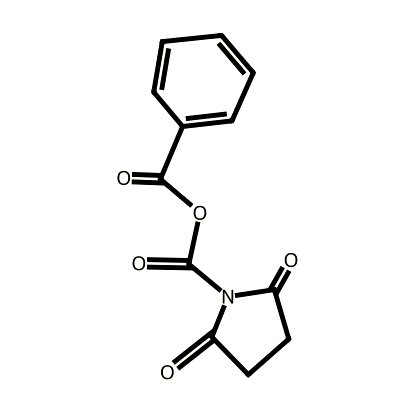 O=C(OC(=O)N1C(=O)CCC1=O)c1ccccc1